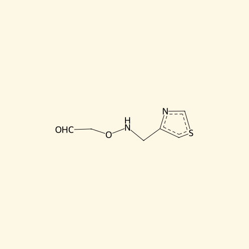 O=CCONCc1cscn1